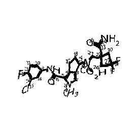 Cn1cc2c(c1C(=O)Nc1ccc(F)c(Cl)c1)CCC2N(CC1(C(N)=O)CC(F)(F)C1)C(=O)O